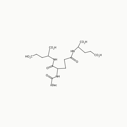 CCCCCCCCCCC(=O)NC(CCC(=O)NC(CCC(=O)O)C(=O)O)C(=O)NC(CCC(=O)O)C(=O)O